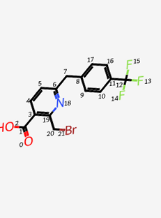 O=C(O)c1ccc(Cc2ccc(C(F)(F)F)cc2)nc1CBr